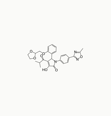 Cc1nc(-c2ccc(N3C(=O)C(O)=C(C(=O)C(C)C)C3c3ccccc3OCC3OCCO3)cc2)no1